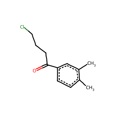 Cc1ccc(C(=O)CCCCl)cc1C